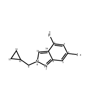 Fc1cc(I)cc2nn(CC3CC3)cc12